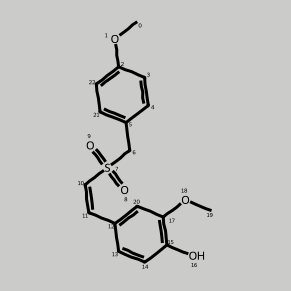 COc1ccc(CS(=O)(=O)/C=C\c2ccc(O)c(OC)c2)cc1